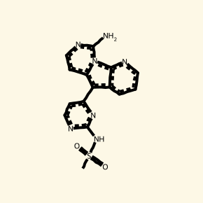 CS(=O)(=O)Nc1nccc(-c2c3cccnc3n3c(N)nccc23)n1